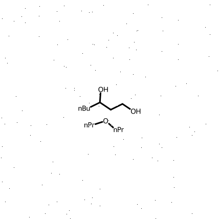 CCCCC(O)CCO.CCCOCCC